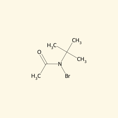 CC(=O)N(Br)C(C)(C)C